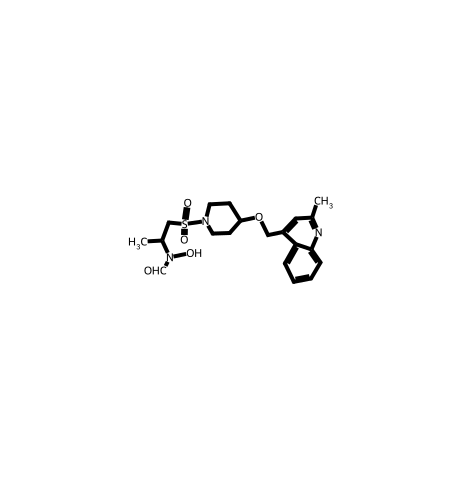 Cc1cc(COC2CCN(S(=O)(=O)CC(C)N(O)C=O)CC2)c2ccccc2n1